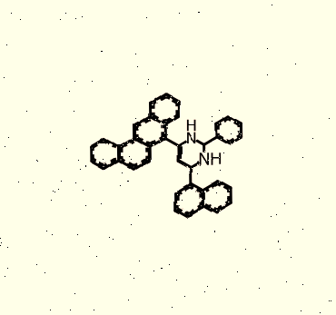 C1=C(c2c3ccccc3cc3c2ccc2ccccc23)NC(c2ccccc2)NC1c1cccc2ccccc12